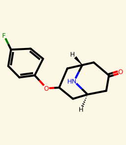 O=C1C[C@H]2CC(Oc3ccc(F)cc3)C[C@H](C1)N2